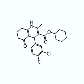 CC1=C(C(=O)OC2CCCCC2)C(c2ccc(Cl)c(Cl)c2)C2=C(CCCC2=O)N1